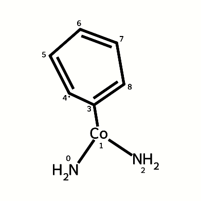 [NH2][Co]([NH2])[c]1[c]cccc1